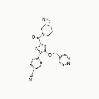 N#Cc1ccc(-n2nc(C(=O)N3CCC[C@@H](N)C3)cc2OCc2ccncc2)cc1